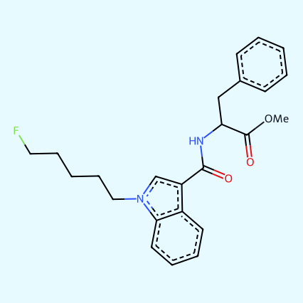 COC(=O)C(Cc1ccccc1)NC(=O)c1cn(CCCCCF)c2ccccc12